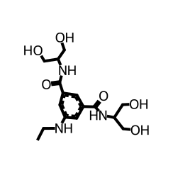 CCNc1cc(C(=O)NC(CO)CO)cc(C(=O)NC(CO)CO)c1